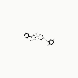 Cc1ccc(C)c(COC2CCN(S(=O)(=O)CC(c3cccnc3)N(O)C=O)CC2)c1